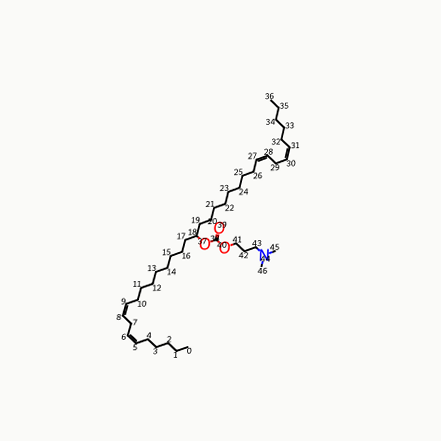 CCCCC/C=C\C/C=C\CCCCCCCCC(CCCCCCCC/C=C\C/C=C\CCCCC)OC(=O)OCCCN(C)C